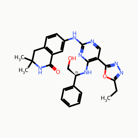 CCc1nnc(-c2cnc(Nc3ccc4c(c3)C(=O)NC(C)(C)C4)nc2N[C@H](CO)c2ccccc2)o1